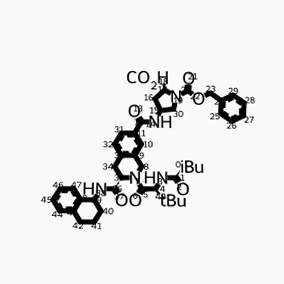 CC[C@@H](C)C(=O)N[C@H](C(=O)N1Cc2cc(C(=O)NC3C[C@@H](C(=O)O)N(C(=O)OCc4ccccc4)C3)ccc2C[C@H]1C(=O)NC1CCCc2ccccc21)C(C)(C)C